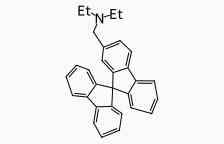 CCN(CC)Cc1ccc2c(c1)C1(c3ccccc3-c3ccccc31)c1ccccc1-2